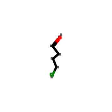 O=CC[CH]CCl